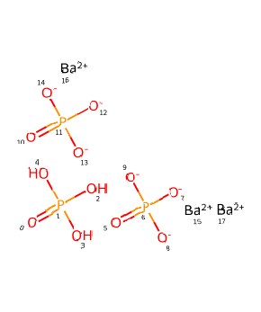 O=P(O)(O)O.O=P([O-])([O-])[O-].O=P([O-])([O-])[O-].[Ba+2].[Ba+2].[Ba+2]